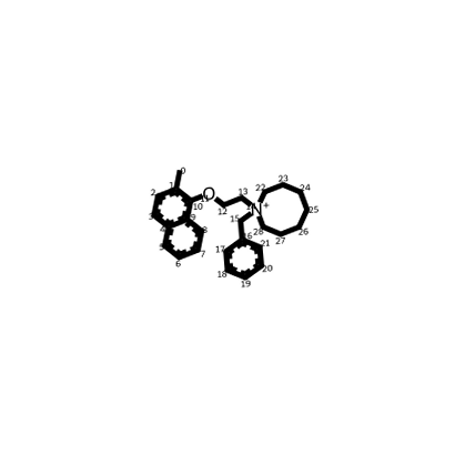 Cc1ccc2ccccc2c1OCC[N+]1(Cc2ccccc2)CCCCCCC1